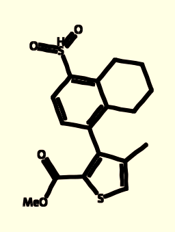 COC(=O)c1scc(C)c1-c1ccc([SH](=O)=O)c2c1CCCC2